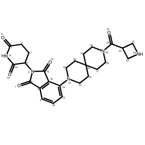 O=C1CCC(N2C(=O)c3cccc(N4CCC5(CCN(C(=O)C6CNC6)CC5)CC4)c3C2=O)C(=O)N1